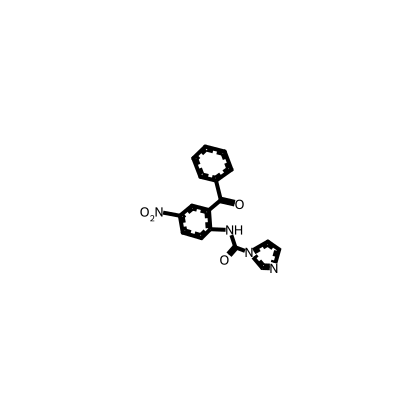 O=C(c1ccccc1)c1cc([N+](=O)[O-])ccc1NC(=O)n1ccnc1